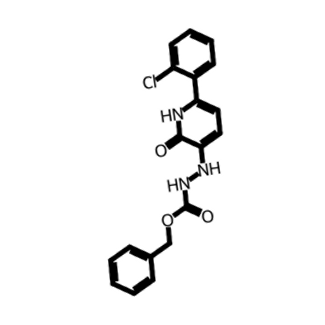 O=C(NNc1ccc(-c2ccccc2Cl)[nH]c1=O)OCc1ccccc1